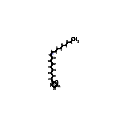 CCCCCCCC/C=C\CCCCCCCCc1ncco1